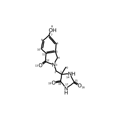 CC1(CN2Cc3cc(O)ccc3C2=O)NC(=O)NC1=O